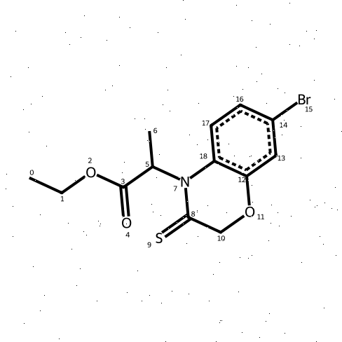 CCOC(=O)C(C)N1C(=S)COc2cc(Br)ccc21